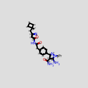 CC(C)n1nc(-c2ccc(CC(=O)Nc3cc(CC4(C)CCC4)no3)cc2)c(C(N)=O)c1N